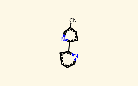 N#Cc1ccc(-c2ccc[c]n2)nc1